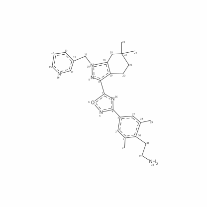 Cc1cc(-c2noc(-c3nn(Cc4cccnc4)c4c3CCC(C)(C)C4)n2)cc(C)c1CCN